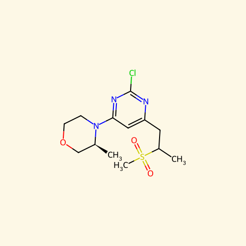 CC(Cc1cc(N2CCOC[C@@H]2C)nc(Cl)n1)S(C)(=O)=O